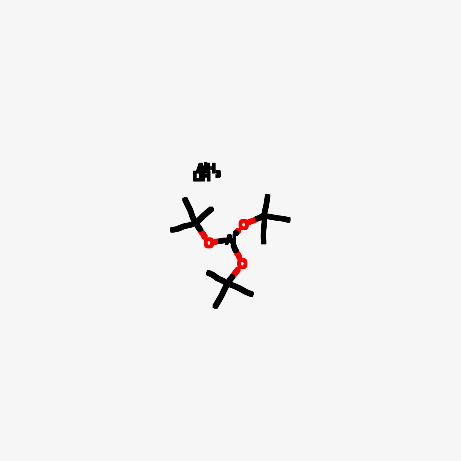 CC(C)(C)[O][Al]([O]C(C)(C)C)[O]C(C)(C)C.[AlH3].[LiH]